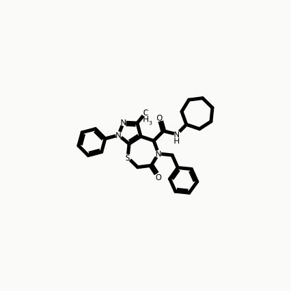 Cc1nn(-c2ccccc2)c2c1C(C(=O)NC1CCCCCC1)N(Cc1ccccc1)C(=O)CS2